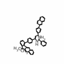 CC1(C)c2cc3ccccc3cc2-c2c(-c3ccc(/C(=C/Cc4ccc(-c5ccc6ccccc6c5)cc4)NC(N)c4ccccc4)cc3)cccc21